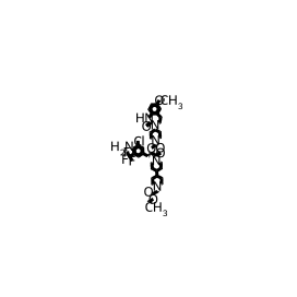 CCOC(=O)CN1CCC(C2CCN(C(=O)[C@@H](Cc3cc(Cl)c(N)c(C(F)(F)F)c3)OC(=O)N3CCC(N4CCc5cc(OC)ccc5NC4=O)CC3)CC2)CC1